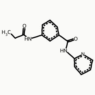 CCC(=O)Nc1cccc(C(=O)Nc2ccccn2)c1